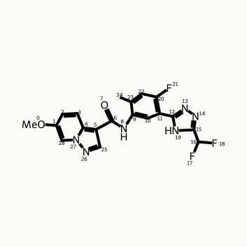 COc1ccc2c(C(=O)Nc3cc(-c4nnc(C(F)F)[nH]4)c(F)cc3C)cnn2c1